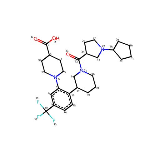 O=C(O)C1CCN(c2cc(C(F)(F)F)ccc2C2CCCN(C(=O)C3CCN(C4CCCC4)C3)C2)CC1